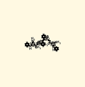 CN(CCOS(=O)(=O)c1ccccc1C=Cc1ccccc1S(=O)(=O)OCCN(C)c1nc(N)nc(Nc2ccccc2)n1)c1nc(N)nc(Nc2ccccc2)n1